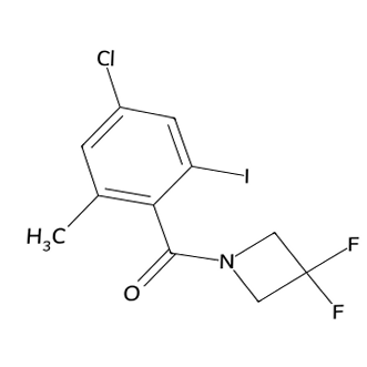 Cc1cc(Cl)cc(I)c1C(=O)N1CC(F)(F)C1